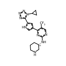 FC(F)(F)c1cnc(N[C@H]2CCCNC2)nc1-c1c[nH]c(-c2nnnn2C2CC2)c1